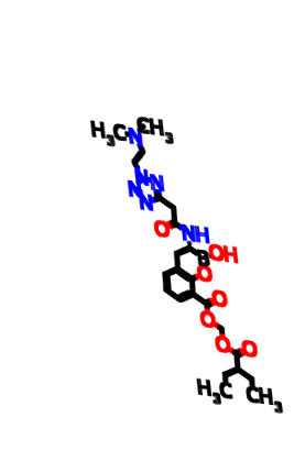 CCC(CC)C(=O)OCOC(=O)c1cccc2c1OB(O)[C@@H](NC(=O)Cc1nnn(CCN(C)C)n1)C2